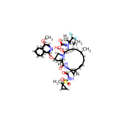 CC[C@@H]1C[C@H](C)CCC=C[C@@H]2C[C@@]2(C(=O)NS(=O)(=O)C2(C)CC2)NC(=O)[C@@H]2C[C@@H](Oc3ncc(OC)c4ccccc34)CN2C(=O)[C@H]1N(C(=O)O)C(C)(C)C(F)F